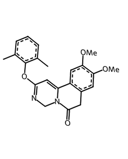 COc1cc2c(cc1OC)C1=CC(Oc3c(C)cccc3C)=NCN1C(=O)C2